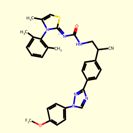 Cc1cccc(C)c1-n1c(C)cs/c1=N\C(=O)NCC(C#N)c1ccc(-c2ncn(-c3ccc(OC(F)(F)F)cc3)n2)cc1